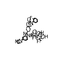 O=C(O)C(F)(F)F.O=C(O)C(F)(F)F.O=C1OC2(CCC(c3nc4cc(-n5ccnc5)ccc4[nH]3)CC2)CN1c1ccccc1F